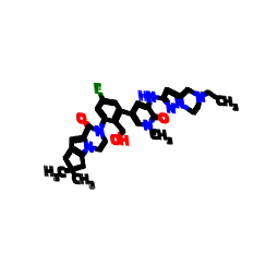 CCN1CCn2nc(Nc3cc(-c4cc(F)cc(N5CCn6c(cc7c6CC(C)(C)C7)C5=O)c4CO)cn(C)c3=O)cc2C1